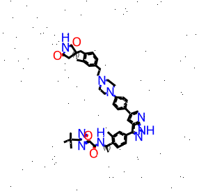 Cc1cc(-c2n[nH]c3ncc(-c4ccc(N5CCN(CCc6ccc7c(c6)C[C@@]6(CC(=O)NC6=O)C7)CC5)cc4)cc23)ccc1[C@@H](C)NC(=O)c1nc(C(C)(C)C)no1